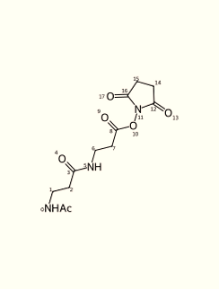 CC(=O)NCCC(=O)NCCC(=O)ON1C(=O)CCC1=O